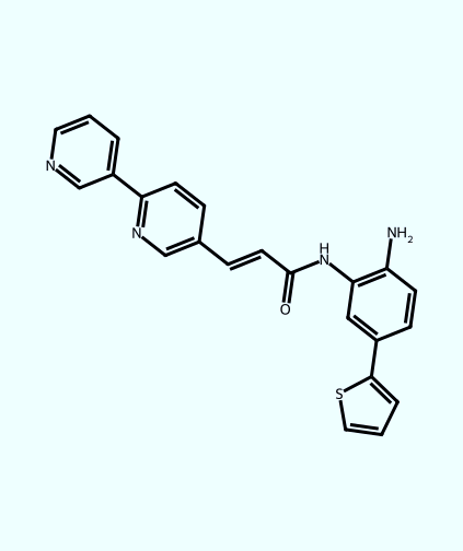 Nc1ccc(-c2cccs2)cc1NC(=O)C=Cc1ccc(-c2cccnc2)nc1